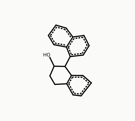 OC1CCc2ccccc2C1c1cccc2ccccc12